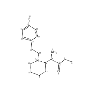 CCC(=O)[C](N)C1CCCCN1CCc1ccc(F)cc1